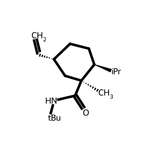 C=C[C@@H]1CC[C@@H](C(C)C)[C@@](C)(C(=O)NC(C)(C)C)C1